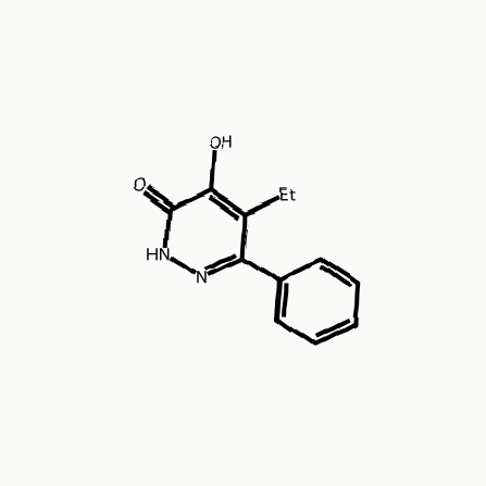 CCc1c(-c2ccccc2)n[nH]c(=O)c1O